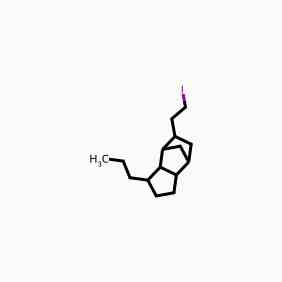 CCCC1CCC2C3CC(CCI)C(C3)C12